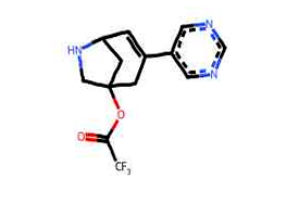 O=C(OC12CNC(C=C(c3cncnc3)C1)C2)C(F)(F)F